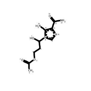 CC(=O)OCCC(O)n1cnc(C(N)=O)c1N